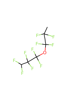 CC(F)(F)C(F)(F)OC(F)(F)C(F)(F)C(F)F